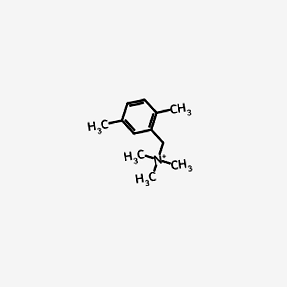 Cc1ccc(C)c(C[N+](C)(C)C)c1